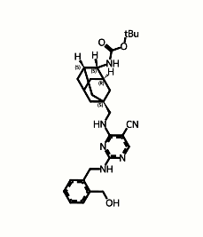 CC(C)(C)OC(=O)N[C@@H]1[C@@H]2CC3C[C@H]1C[C@@](CNc1nc(NCc4ccccc4CO)ncc1C#N)(C3)C2